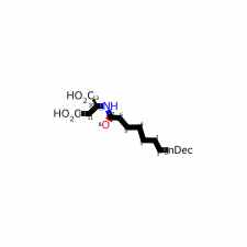 CCCCCCCCCCCCCCCCC(=O)N[C@@H](CC(=O)O)C(=O)O